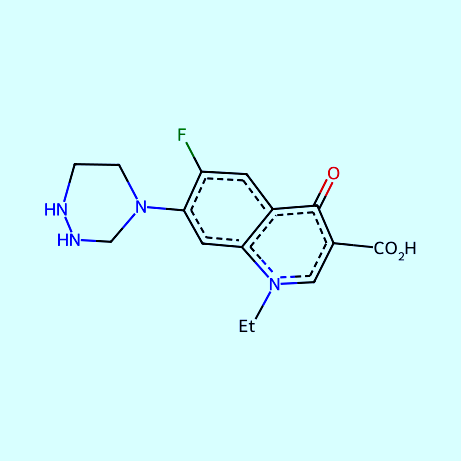 CCn1cc(C(=O)O)c(=O)c2cc(F)c(N3CCNNC3)cc21